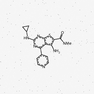 CNC(=O)c1sc2nc(NC3CC3)nc(-c3ccncc3)c2c1N